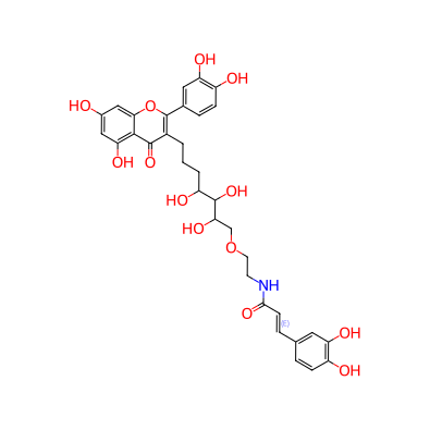 O=C(/C=C/c1ccc(O)c(O)c1)NCCOCC(O)C(O)C(O)CCCc1c(-c2ccc(O)c(O)c2)oc2cc(O)cc(O)c2c1=O